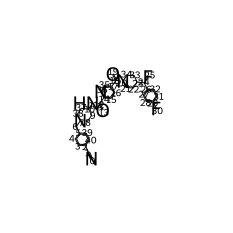 N#Cc1ccc(CN2CCC(NC(=O)c3ccc(C(=O)N4CCC(C(F)c5ccc(F)cc5)CC4)cn3)CC2)cc1